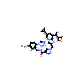 COc1ccc(-n2cnnn2)c(CNC(=O)c2cn(Cc3cn4cc(C5CC5)cc(C(C)C5COC5)c4n3)nn2)c1F